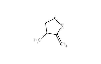 C=C1SSCC1C